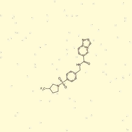 O=C(NCc1ccc(S(=O)(=O)N2CCC(C(F)(F)F)C2)cc1)c1ccc2nccn2c1